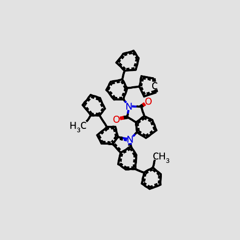 Cc1ccccc1-c1ccc2c3ccc(-c4ccccc4C)cc3n(-c3cccc4c3C(=O)N(c3cccc(-c5ccccc5)c3-c3ccccc3)C4=O)c2c1